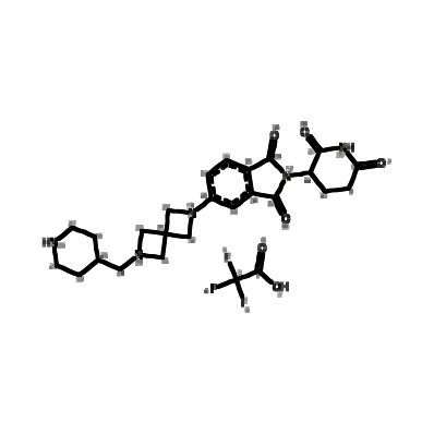 O=C(O)C(F)(F)F.O=C1CCC(N2C(=O)c3ccc(N4CC5(CN(CC6CCNCC6)C5)C4)cc3C2=O)C(=O)N1